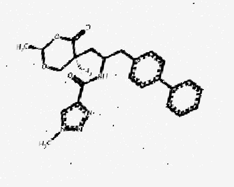 C[C@@H]1OC[C@](C)(CC(Cc2ccc(-c3ccccc3)cc2)NC(=O)c2cn(C)nn2)C(=O)O1